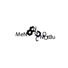 C=C=C1CN(c2nccc3cc(NC)ccc23)CC/C1=N\C(=O)OC(C)(C)C